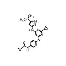 CC(C)c1cc(Nc2nc(Sc3ccc(NC(=O)C4CC4)cc3)nc(C3CC3)n2)n[nH]1